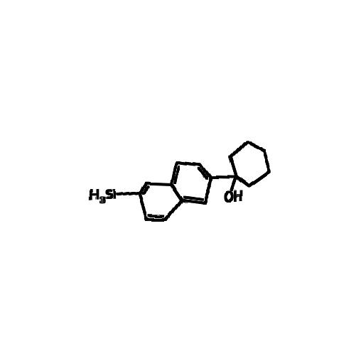 OC1(c2ccc3cc([SiH3])ccc3c2)CCCCC1